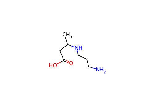 CC(CC(=O)O)NCCCN